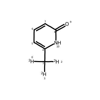 [2H]C([2H])([2H])c1cccc(=O)[nH]1